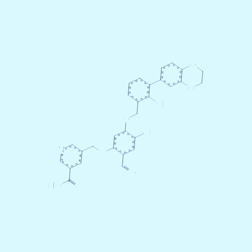 Cc1c(COc2cc(OCc3cncc(C(=O)O)c3)c(C=O)cc2Cl)cccc1-c1ccc2c(c1)OCCO2